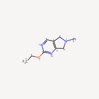 CC(C)N1Cc2cnc(OCC(F)(F)F)nc2C1